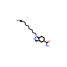 C#CCCCCCCCn1ncc2cc(C(N)=O)ccc21